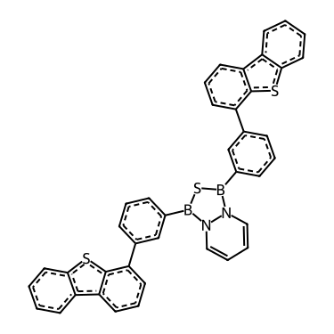 C1=CN2B(c3cccc(-c4cccc5c4sc4ccccc45)c3)SB(c3cccc(-c4cccc5c4sc4ccccc45)c3)N2C=C1